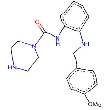 COc1ccc(CNc2ccccc2NC(=O)N2CCNCC2)cc1